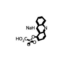 O=C(O)S(=O)(=O)Oc1cccc2nc3ccccc3cc12.[NaH]